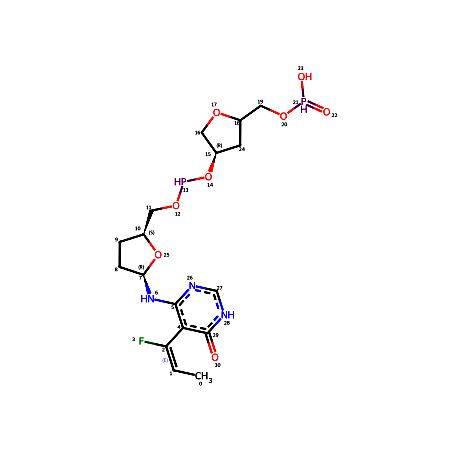 C/C=C(/F)c1c(N[C@H]2CC[C@@H](COPO[C@H]3COC(CO[PH](=O)O)C3)O2)nc[nH]c1=O